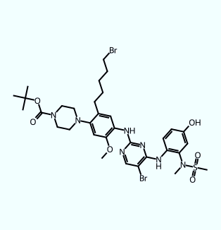 COc1cc(N2CCN(C(=O)OC(C)(C)C)CC2)c(CCCCCBr)cc1Nc1ncc(Br)c(Nc2ccc(O)cc2N(C)S(C)(=O)=O)n1